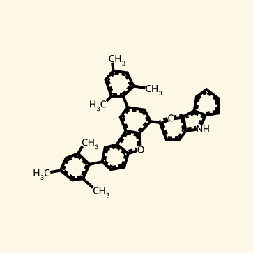 Cc1cc(C)c(-c2ccc3oc4c(-c5ccc6[nH]c7ccccc7c6c5)cc(-c5c(C)cc(C)cc5C)cc4c3c2)c(C)c1